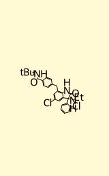 CCNC1(c2ccccc2Cl)C(=O)Nc2c(Cc3ccc(C(=O)NC(C)(C)C)cc3)cc(Cl)cc21